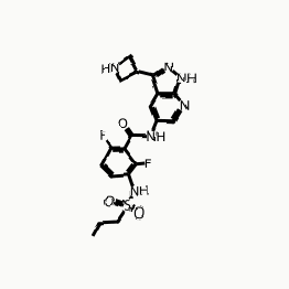 CCCS(=O)(=O)Nc1ccc(F)c(C(=O)Nc2cnc3[nH]nc(C4CNC4)c3c2)c1F